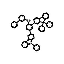 c1ccc(-c2cccc(Nc3ccc(-c4ccc5c(c4)c4ccccc4n5-c4ccccc4)cc3-c3ccc4c(c3)C(c3ccccc3)(c3ccccc3)c3ccccc3-4)c2)cc1